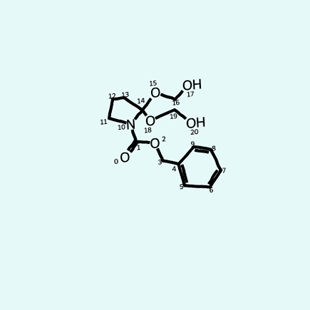 O=C(OCc1ccccc1)N1CCCC1(OCO)OCO